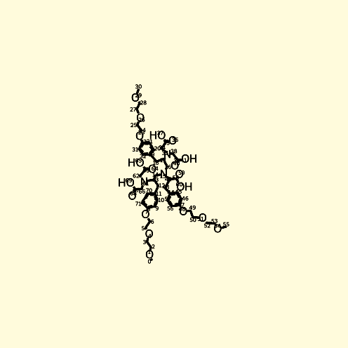 COCCOCCOc1ccc(CC(CN(CC(Cc2ccc(OCCOCCOC)cc2)N(CC(=O)O)CC(=O)O)C(Cc2ccc(OCCOCCOC)cc2)C(=O)O)N(CC(=O)O)CC(=O)O)cc1